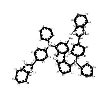 Fc1cc(N(c2ccccc2)c2ccc(-c3nc4ccccc4s3)cc2)c2oc3cccc(N(c4ccccc4)c4ccc(-c5nc6ccccc6o5)cc4)c3c2c1